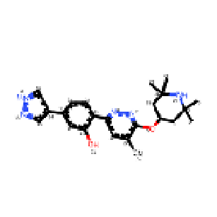 CC1(C)CC(Oc2nnc(-c3ccc(-c4cn[nH]c4)cc3O)cc2C#N)CC(C)(C)N1